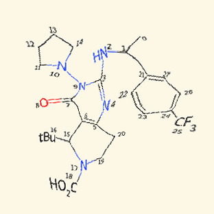 CC(Nc1nc2c(c(=O)n1N1CCCC1)C(C(C)(C)C)N(C(=O)O)CC2)c1ccc(C(F)(F)F)cc1